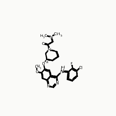 COc1cc2ncnc(Nc3cccc(Cl)c3F)c2cc1O[C@@H]1CCCN(C(=O)CN(C)C)C1